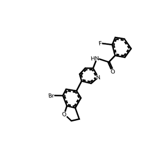 O=C(Nc1ccc(-c2cc(Br)c3c(c2)CCO3)cn1)c1ccccc1F